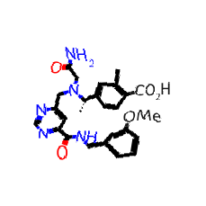 COc1cccc(CNC(=O)c2cc(CN(CC(N)=O)[C@@H](C)c3ccc(C(=O)O)c(C)c3)ncn2)c1